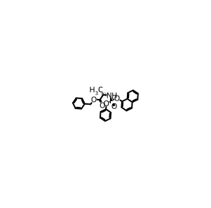 C[C@H](NP(=O)(Oc1ccccc1)Oc1cccc2ccccc12)C(=O)OCc1ccccc1